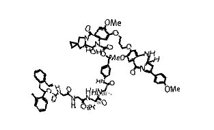 C=Cc1ccccc1CC(OC(=O)NCC(=O)NCC(=O)N[C@H](C(=O)N[C@@H](C)C(=O)Nc1ccc(COC(=O)N2c3cc(OCCCOc4cc5c(cc4OC)C(=O)N4C=C(c6ccc(OC)cc6)C[C@H]4CN5)c(OC)cc3C(=O)N3CC4(CC4)C[C@H]3C2O)cc1)C(C)C)c1ccccc1C